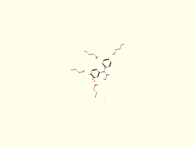 CCCCC(=O)Oc1ccc(C(c2ccc(OC(=O)CCCC)c(OC(=O)CCCC)c2)C(C)C(C)C)cc1OC(=O)CCCC